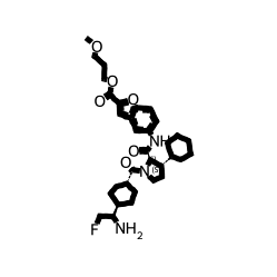 COCCCOC(=O)c1cc2cc(NC(=O)[C@@H]3[C@H](C4CCCCC4)CCN3C(=O)[C@H]3CC[C@H](C(N)CF)CC3)ccc2o1